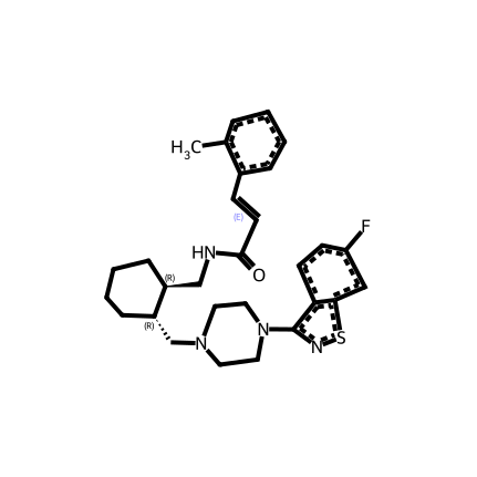 Cc1ccccc1/C=C/C(=O)NC[C@@H]1CCCC[C@H]1CN1CCN(c2nsc3cc(F)ccc23)CC1